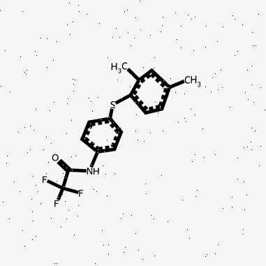 Cc1ccc(Sc2ccc(NC(=O)C(F)(F)F)cc2)c(C)c1